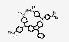 CCN(CC)c1ccc(N(c2ccc(N(CC)CC)cc2)c2ccc3c(c2)c2cc(N(c4ccc(N(CC)CC)cc4)c4ccc(N(CC)CC)cc4)ccc2n3-c2ccccc2)cc1